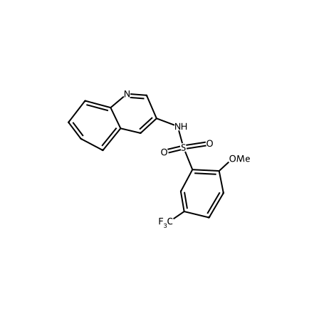 COc1ccc(C(F)(F)F)cc1S(=O)(=O)Nc1cnc2ccccc2c1